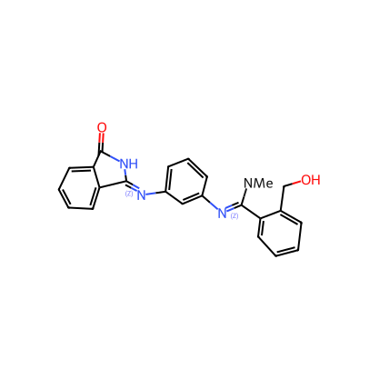 CN/C(=N\c1cccc(/N=C2\NC(=O)c3ccccc32)c1)c1ccccc1CO